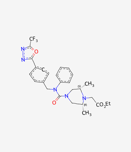 CCOC(=O)CN1[C@H](C)CN(C(=O)N(Cc2ccc(-c3nnc(C(F)(F)F)o3)cc2)c2ccccc2)C[C@@H]1C